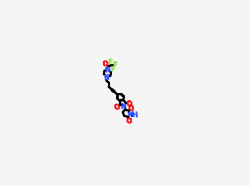 O=C1CCC(N2C(=O)c3ccc(C#CCCCN4CCN(C(=O)C(F)(F)F)CC4)cc3C2=O)C(=O)N1